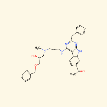 COC(=O)c1ccc2c(c1)[nH]c1nc(Cc3ccccc3)nc(NCCCN(C)CC(O)COCc3ccccc3)c12